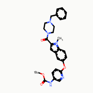 Cn1c(C(=O)N2CCN(Cc3ccccc3)CC2)cc2cc(Oc3ccc(NC(=O)OC(C)(C)C)cn3)ccc21